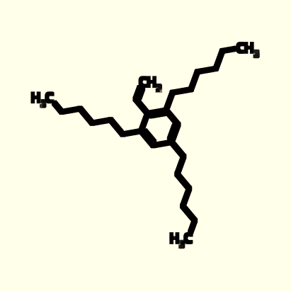 C=Cc1c(CCCCCC)cc(CCCCCC)cc1CCCCCC